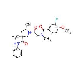 CN(CC(=O)N1CC(C)(C(=O)Nc2ccccc2)CC1C#N)C(=O)c1ccc(OC(F)(F)F)c(F)c1